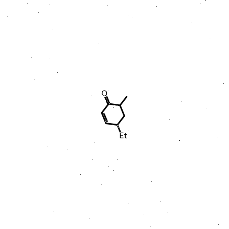 CCC1C=CC(=O)C(C)C1